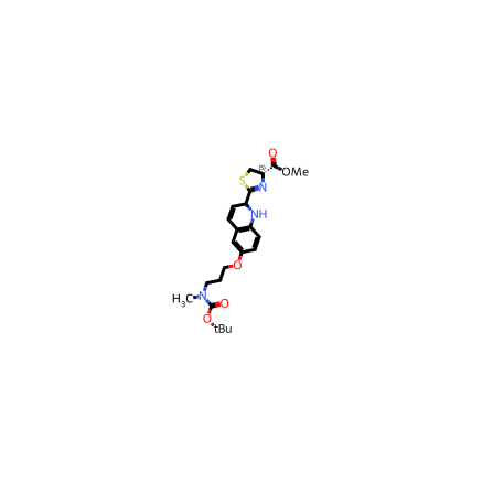 COC(=O)[C@H]1CSC(C2C=Cc3cc(OCCCN(C)C(=O)OC(C)(C)C)ccc3N2)=N1